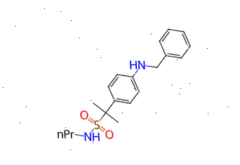 CCCNS(=O)(=O)C(C)(C)c1ccc(NCc2ccccc2)cc1